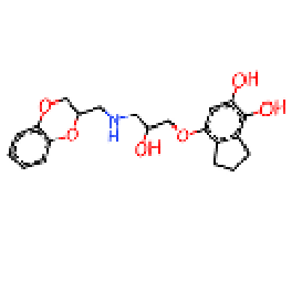 Oc1cc(OCC(O)CNCC2COc3ccccc3O2)c2c(c1O)CCC2